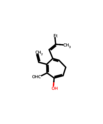 C=CC1=C(C=O)C(O)=CCC=C1/C=C(\C)CC